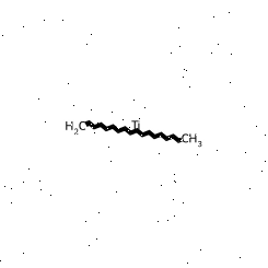 C=CCCCCCCCCCCCCCCCC.[Ti]